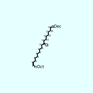 CCCCCCCC/C=C\CCCCCCCCC(=O)CCCCCCCCCCCCCCCCC